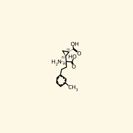 Cc1cccc(CC[C@](N)(C(=O)O)[C@H]2C[C@@H]2C(=O)O)c1